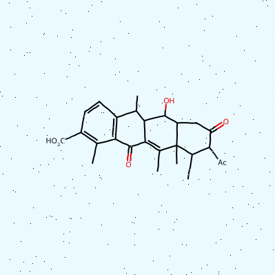 CC(=O)C1C(=O)CC2C(O)C3C(=C(C)C2(C)C1C)C(=O)c1c(ccc(C(=O)O)c1C)C3C